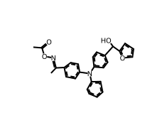 CC(=O)O/N=C(\C)c1ccc(N(c2ccccc2)c2ccc(C(O)c3ccco3)cc2)cc1